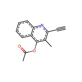 C#Cc1nc2ccccc2c(OC(C)=O)c1C